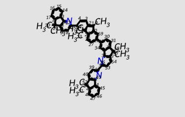 CC1=C(/C=C\C(C)c2ccc3c(n2)-c2ccccc2C3(C)C)C(C)(C)c2ccc(-c3ccc4c(c3)-c3nc(-c5ccc6c(n5)-c5ccccc5C6(C)C)ccc3C4(C)C)cc21